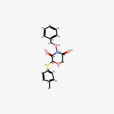 Cc1ccc(SC2OCC(=O)N(OCc3ccccc3)C2=O)cc1